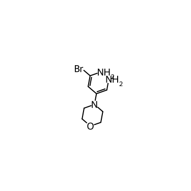 N/C=C(\C=C(/N)Br)N1CCOCC1